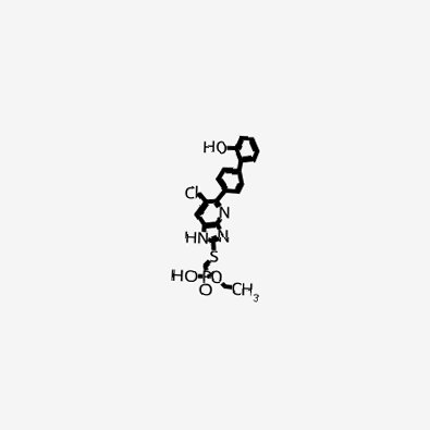 CCOP(=O)(O)CSc1nc2nc(-c3ccc(-c4ccccc4O)cc3)c(Cl)cc2[nH]1